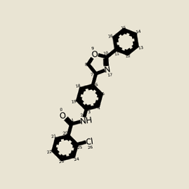 O=C(Nc1ccc(C2COC(c3ccccc3)=N2)cc1)c1ccccc1Cl